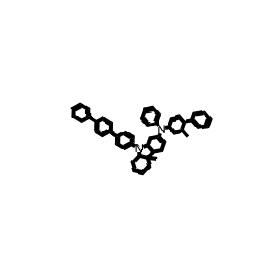 CC1CC(N(C2=CCC3C(C2)N(c2ccc(-c4ccc(C5=CC=CCC5)cc4)cc2)C2CCCCC32C)c2ccccc2)C=CC1c1ccccc1